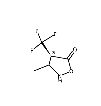 CC1NOC(=O)[C@@H]1C(F)(F)F